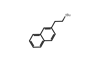 CC(C)(C)CCc1[c]c2ccccc2cc1